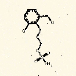 NS(=O)(=O)OCCCc1c(Cl)cccc1CCl